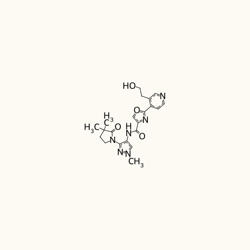 Cn1cc(NC(=O)c2coc(-c3ccncc3CCO)n2)c(N2CCC(C)(C)C2=O)n1